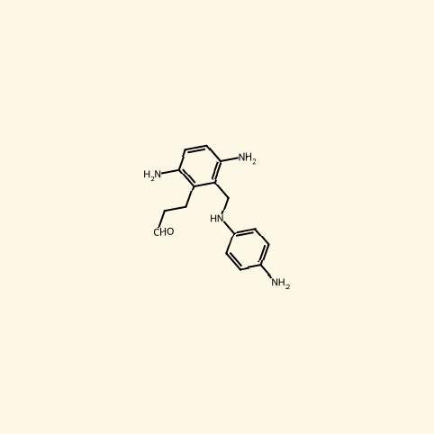 Nc1ccc(NCc2c(N)ccc(N)c2CCC=O)cc1